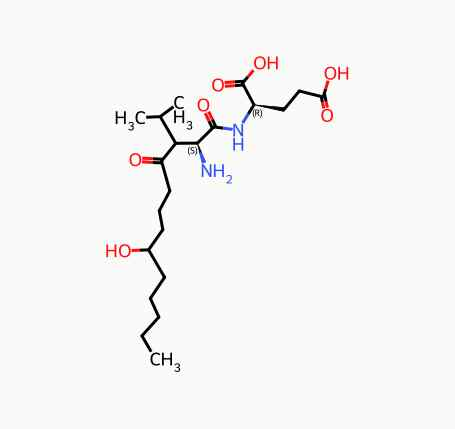 CCCCCC(O)CCCC(=O)C(C(C)C)[C@H](N)C(=O)N[C@H](CCC(=O)O)C(=O)O